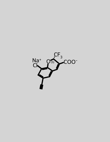 C#Cc1cc(Cl)c2c(c1)C=C(C(=O)[O-])[C@@H](C(F)(F)F)O2.[Na+]